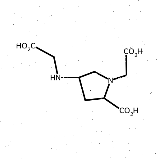 O=C(O)CNC1CC(C(=O)O)N(CC(=O)O)C1